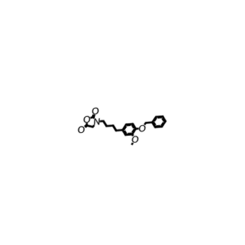 COc1cc(CCCCN2CC(=O)OC2=O)ccc1OCc1ccccc1